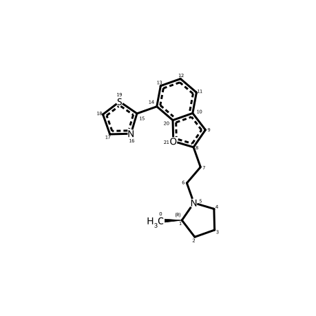 C[C@@H]1CCCN1CCc1cc2cccc(-c3nccs3)c2o1